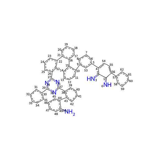 N=C1C(=N)C(c2cccc(-c3ccccc3-c3ccccc3-c3cccc(-c4nc(-c5ccccc5)nc(-c5ccccc5-c5ccccc5N)n4)c3)c2)=CC=C1c1ccccc1